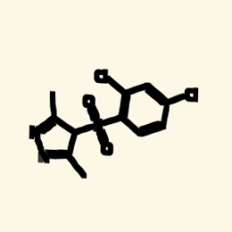 CC1=NN=C(C)C1S(=O)(=O)c1ccc(Cl)cc1Cl